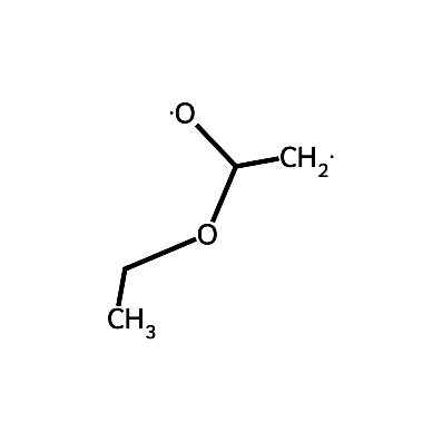 [CH2]C([O])OCC